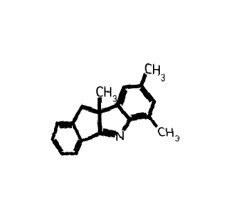 Cc1cc(C)c2c(c1)C1(C)Cc3ccccc3C1=N2